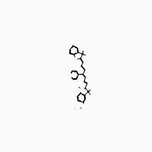 CN1C(=CC=CC(=CC=CC2=[N+](C)c3ccc(OC=O)cc3C2(C)C)c2ccncc2)C(C)(C)c2cc(C(=O)O)ccc21